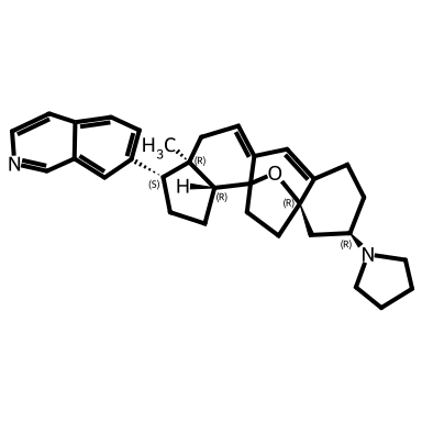 C[C@]12CC=C3C=C4CC[C@@H](N5CCCC5)C[C@]45CCC3(O5)[C@@H]1CC[C@@H]2c1ccc2ccncc2c1